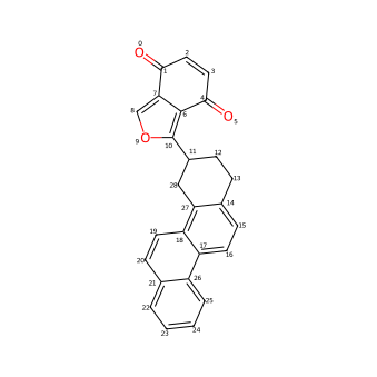 O=C1C=CC(=O)c2c1coc2C1CCc2ccc3c(ccc4ccccc43)c2C1